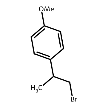 COc1ccc(C(C)CBr)cc1